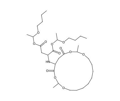 CCCCOC(C)OC(=O)CC(NC1CC(=O)OC(C)OCCCCCCCCOC(C)OC1=O)C(=O)OC(C)OCCCC